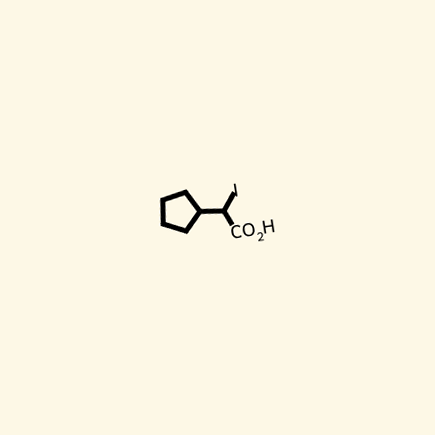 O=C(O)C(I)C1CCCC1